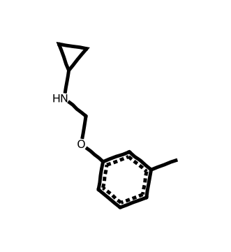 Cc1cccc(OCNC2CC2)c1